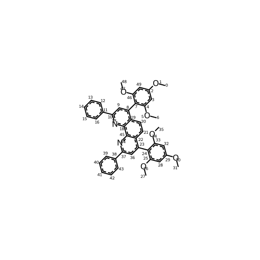 COc1cc(OC)c(-c2cc(-c3ccccc3)nc3c2ccc2c(-c4c(OC)cc(OC)cc4OC)cc(-c4ccccc4)nc23)c(OC)c1